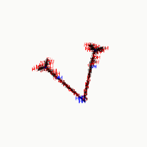 CN[C@H](CC(=O)NCCOCCOCCOCCOCCOCCOCCOCCOCCNC(=O)OCC(O)COCC(O)COCC(O)CN(C[C@H](O)[C@@H](O)[C@H](O)[C@H](O)CO)C[C@H](O)[C@@H](O)[C@H](O)[C@H](O)CO)C(=O)NCCOCCOCCOCCOCCOCCOCCOCCOCCNC(=O)OCC(O)COCC(O)COCC(O)CN(C[C@H](O)[C@@H](O)[C@H](O)[C@H](O)CO)C[C@H](O)[C@@H](O)[C@H](O)[C@H](O)CO